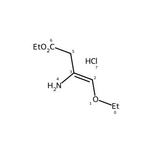 CCOC=C(N)CC(=O)OCC.Cl